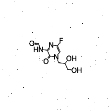 O=CNc1nc(F)cn(CC(O)CO)c1=O